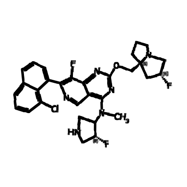 CN(c1nc(OC[C@@]23CCCN2C[C@H](F)C3)nc2c(F)c(-c3cccc4cccc(Cl)c34)ncc12)C1CNC[C@H]1F